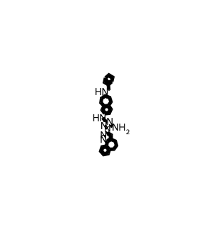 Nc1nc(Nc2ccc3c(c2)CC[C@@H](NCC2CC4C=CC2C4)CC3)nn1-c1cc2c(nn1)-c1ccccc1CCC2